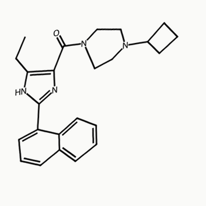 CCc1[nH]c(-c2cccc3ccccc23)nc1C(=O)N1CCN(C2CCC2)CC1